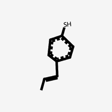 CC=Cc1ccc(S)cc1